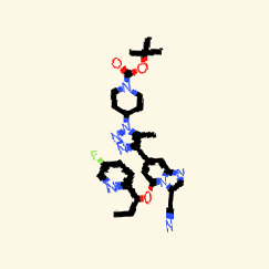 CCC(Oc1cc(-c2nnn(C3CCN(C(=O)OC(C)(C)C)CC3)c2C)cc2ncc(C#N)n12)c1ccc(F)cn1